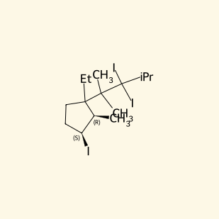 CCC1(C(C)(C)C(I)(I)C(C)C)CC[C@H](I)[C@@H]1C